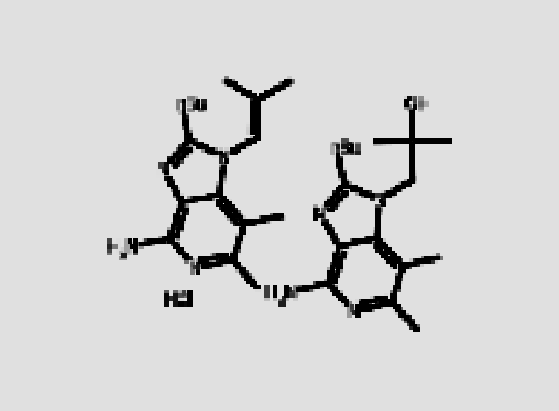 CCCCc1nc2c(N)nc(C)c(C)c2n1C=C(C)C.CCCCc1nc2c(N)nc(C)c(C)c2n1CC(C)(C)O.Cl